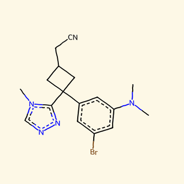 CN(C)c1cc(Br)cc(C2(c3nncn3C)CC(CC#N)C2)c1